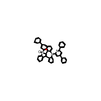 O=P1(c2cccc(-c3ccccc3)c2)C2=C(c3ccccc3N(c3cc(-c4ccccc4)cc(-c4ccccc4)n3)c3ccccc32)c2ccccc21